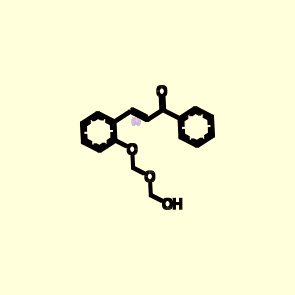 O=C(/C=C/c1ccccc1OCOCO)c1ccccc1